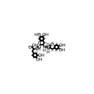 O=C(O)C(Cc1ccc(O)c(O)c1)NCOC(=O)C(Cc1ccc(O)c(O)c1)N[C@@H]1NC(Cc2ccc(O)c(O)c2)C(=O)O1